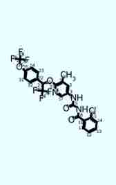 Cc1cc(NC(=O)NC(=O)c2ccccc2Cl)cnc1OC(c1ccc(OC(F)(F)F)cc1)C(F)(F)F